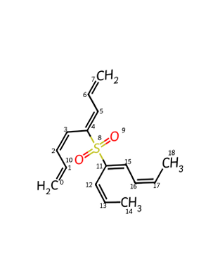 C=C/C=C\C(=C/C=C)S(=O)(=O)C(/C=C\C)=C/C=C\C